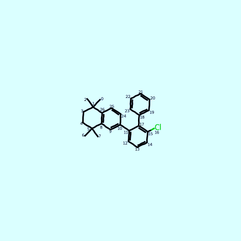 CC1(C)CCC(C)(C)c2cc(-c3cccc(Cl)c3-c3ccccc3)ccc21